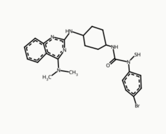 CN(C)c1nc(NC2CCC(NC(=O)N(S)c3ccc(Br)cc3)CC2)nc2ccccc12